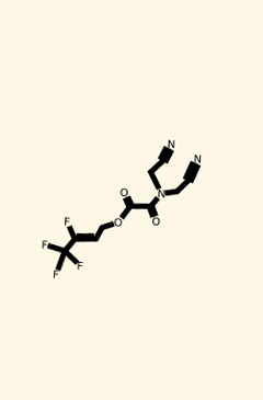 N#CCN(CC#N)C(=O)C(=O)OC/C=C(\F)C(F)(F)F